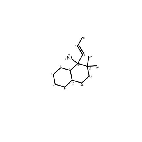 CC=CC1(O)C2CCCCC2CCC1(C)C